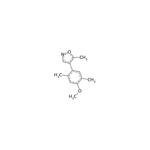 COc1cc(C)c(-c2cnoc2C)cc1C